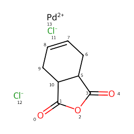 O=C1OC(=O)C2CC=CCC12.[Cl-].[Cl-].[Pd+2]